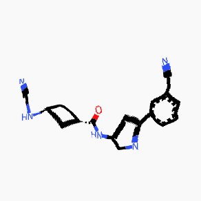 N#CN[C@H]1C[C@H](C(=O)NC2=CC(c3cccc(C#N)c3)=NC2)C1